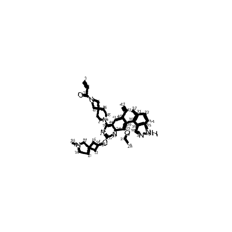 C=CC(=O)N1CC2(CCN(c3nc(OC4CC5(CCN(C)C5)C4)nc4c(OCC)c(-c5c(C)ccc6[nH]ncc56)c(C=C)cc34)CC2)C1